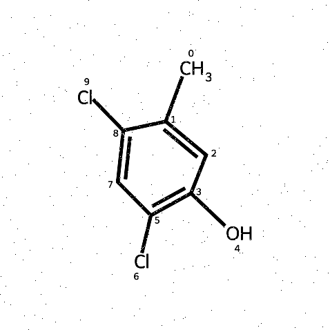 Cc1cc(O)c(Cl)cc1Cl